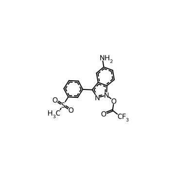 CS(=O)(=O)c1cccc(-c2nn(OC(=O)C(F)(F)F)c3ccc(N)cc23)c1